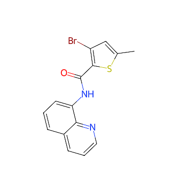 Cc1cc(Br)c(C(=O)Nc2cccc3cccnc23)s1